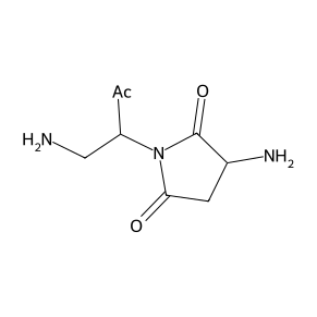 CC(=O)C(CN)N1C(=O)CC(N)C1=O